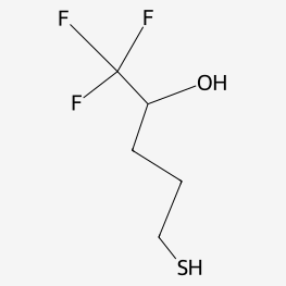 OC(CCCS)C(F)(F)F